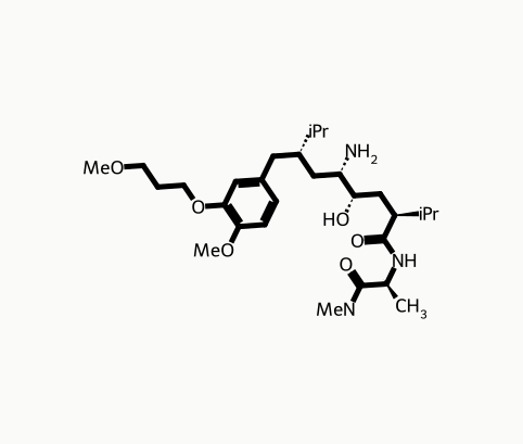 CNC(=O)[C@H](C)NC(=O)[C@@H](C[C@H](O)[C@@H](N)C[C@H](Cc1ccc(OC)c(OCCCOC)c1)C(C)C)C(C)C